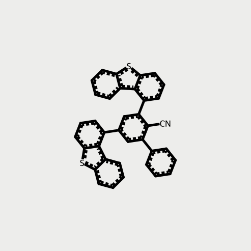 N#Cc1c(-c2ccccc2)cc(-c2cccc3sc4ccccc4c23)cc1-c1cccc2sc3ccccc3c12